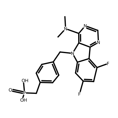 CN(C)c1ncnc2c3c(F)cc(F)cc3n(Cc3ccc(CP(=O)(O)O)cc3)c12